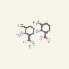 CC1CCCC(C(=O)[O-])C1N.CC1CCCC(C(=O)[O-])C1N.[Ni+2]